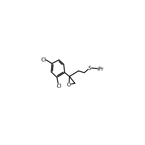 CC(C)SCCC1(c2ccc(Cl)cc2Cl)CO1